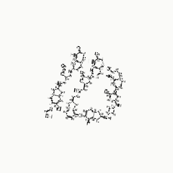 O=C1COc2ccc(N3CC(CNC4Cc5ccc(Cl)cc5C4)OC3=O)nc2N1.O=C1COc2ccc(N3CC(CNCCC4Cc5cccc(Cl)c5C4)OC3=O)nc2N1.O=C1COc2ccc(N3C[C@@H](NC4CC(NC5Cc6cccc(F)c6C5)C4)CC3=O)nc2N1.O=CO